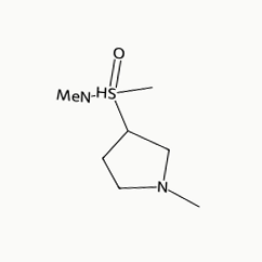 CN[SH](C)(=O)C1CCN(C)C1